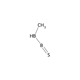 CBB=S